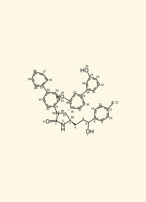 O=C1N[C@H](CCC(O)c2ccc(F)cc2)[C@@H](c2ccc(-c3cccc(O)c3)cc2O)N1c1ccc(-c2ccccc2)cc1